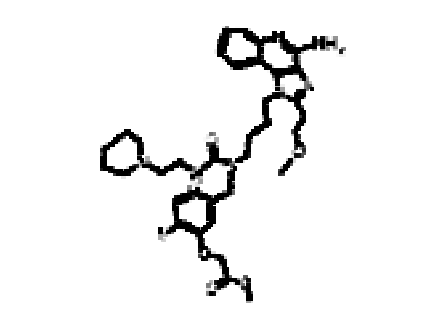 COCCc1nc2c(N)nc3ccccc3c2n1CCCCN(Cc1ccc(F)c(OCC(=O)OC)c1)C(=O)NCCN1CCCCC1